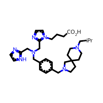 CC(C)CN1CCC2(CC1)CCN(Cc1ccc(CN(Cc3ncc[nH]3)Cc3nccn3CCCC(=O)O)cc1)C2